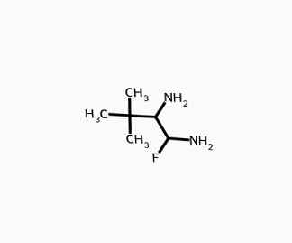 CC(C)(C)C(N)C(N)F